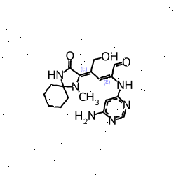 CN1/C(=C(\C=C(/C=O)Nc2cc(N)ncn2)CO)C(=O)NC12CCCCC2